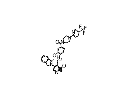 Cc1c(N2Cc3ccccc3[C@@H]2COc2cccc(C(=O)N3CCN(c4ccc(C(F)(F)F)cn4)CC3)c2)cn[nH]c1=O